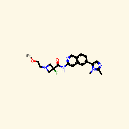 Cc1ncc(-c2ccc3cnc(NC(=O)C4(F)CN(CCOC(C)C)C4)cc3c2)n1C